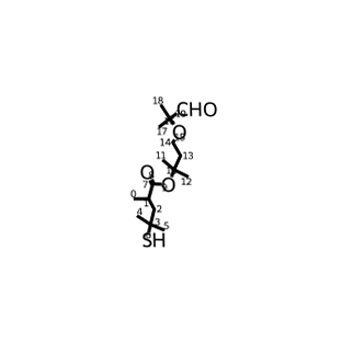 CC(CC(C)(C)S)C(=O)OC(C)(C)CCOC(C)(C)C=O